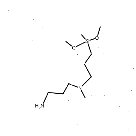 CO[Si](C)(CCCN(C)CCCN)OC